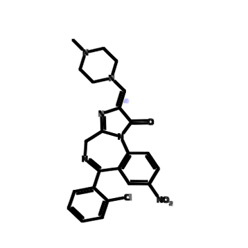 CN1CCN(/C=C2\N=C3CN=C(c4ccccc4Cl)c4cc([N+](=O)[O-])ccc4N3C2=O)CC1